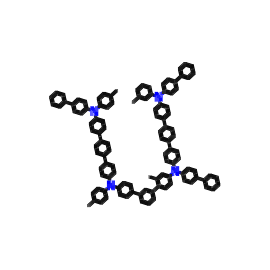 Cc1ccc(N(c2ccc(-c3ccccc3)cc2)c2ccc(-c3ccc(-c4ccc(N(c5ccc(C)cc5)c5ccc(-c6cccc(-c7ccc(N(c8ccc(-c9ccccc9)cc8)c8ccc(-c9ccc(-c%10ccc(N(c%11ccc(-c%12ccccc%12)cc%11)c%11cccc(C)c%11)cc%10)cc9)cc8)cc7C)c6)cc5)cc4)cc3)cc2)cc1